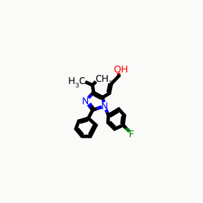 CC(C)c1nc(-c2ccccc2)n(-c2ccc(F)cc2)c1/C=C/CO